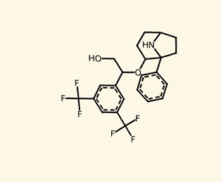 OCC(OC1CCC2CCC1(c1ccccc1)N2)c1cc(C(F)(F)F)cc(C(F)(F)F)c1